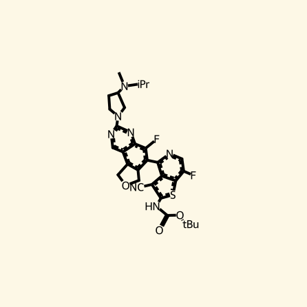 CC(C)N(C)C1CCN(c2ncc3c4c(c(-c5ncc(F)c6sc(NC(=O)OC(C)(C)C)c(C#N)c56)c(F)c3n2)COC4)C1